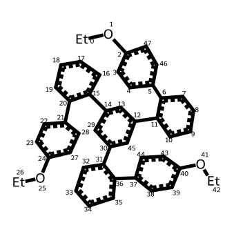 CCOc1ccc(-c2ccccc2-c2cc(-c3ccccc3-c3ccc(OCC)cc3)cc(-c3ccccc3-c3ccc(OCC)cc3)c2)cc1